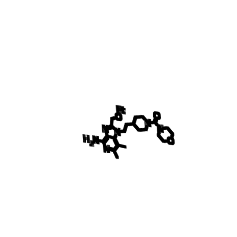 CCOCc1nc2c(N)nc(C)c(C)c2n1CCC1CCN(C(=O)N2CCOCC2)CC1